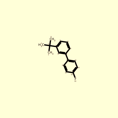 CC(C)(C)c1cccc(-c2ccc(F)cc2)c1